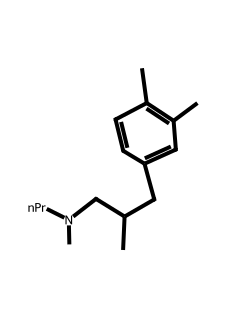 CCCN(C)CC(C)Cc1ccc(C)c(C)c1